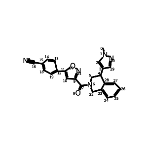 Cn1cc(C2CN(C(=O)c3cc(-c4ccc(C#N)cc4)on3)Cc3ccccc32)cn1